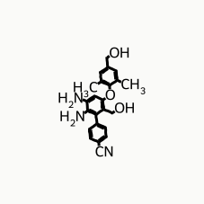 Cc1cc(CO)cc(C)c1Oc1cc(N)c(N)c(-c2ccc(C#N)cc2)c1CO